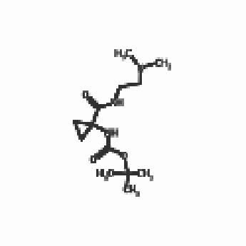 CN(C)CCNC(=O)C1(NC(=O)OC(C)(C)C)CC1